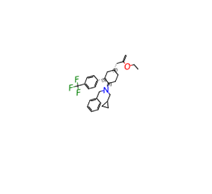 C=C(C[C@@H]1CC[C@@H](N(Cc2ccccc2)CC2CC2)[C@H](c2ccc(C(F)(F)F)cc2)C1)OCC